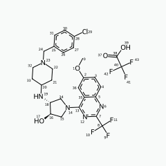 COc1ccc2nc(C(F)(F)F)nc(N3C[C@@H](O)[C@H](NC4CCN(Cc5ccc(Cl)cc5)CC4)C3)c2c1.O=C(O)C(F)(F)F